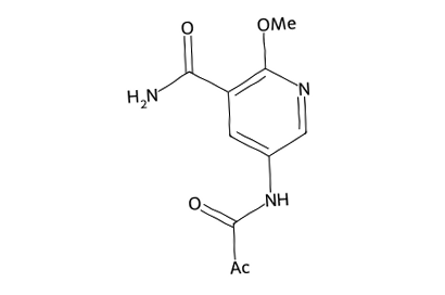 COc1ncc(NC(=O)C(C)=O)cc1C(N)=O